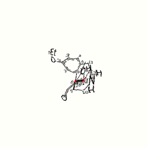 CCOc1ccc2c(c1)[C@]13CCN[C@H](C2)C1(O)CCC(=O)C3